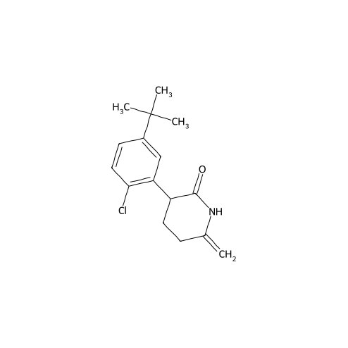 C=C1CCC(c2cc(C(C)(C)C)ccc2Cl)C(=O)N1